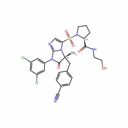 C[C@@]1(Cc2ccc(C#N)cc2)C(=O)N(c2cc(Cl)cc(Cl)c2)c2ncc(S(=O)(=O)N3CCC[C@H]3C(=O)NCCO)n21